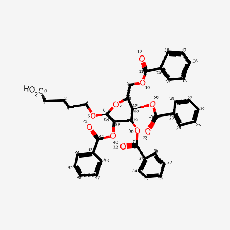 O=C(O)CCCCO[C@H]1OC(COC(=O)c2ccccc2)[C@@H](OC(=O)c2ccccc2)C(OC(=O)c2ccccc2)C1OC(=O)c1ccccc1